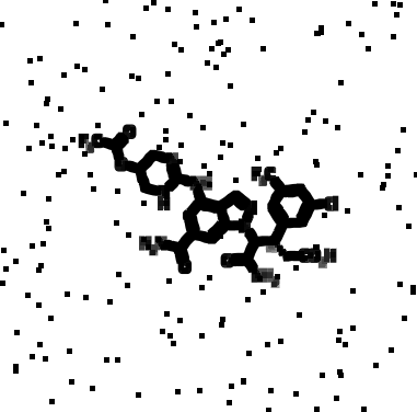 NC(=O)c1cc(NC2=NCC(OC(=O)C(F)(F)F)CN2)c2cnn(C(C(N)=O)[C@@H](CC(=O)O)c3cc(Cl)cc(C(F)(F)F)c3)c2c1